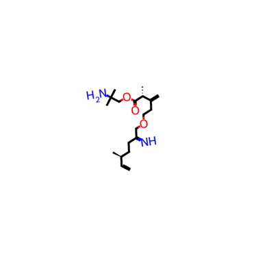 C=C[C@@H](C)CCC(=N)COCCC(=C)[C@@H](C)C(=O)OCC(C)(C)N